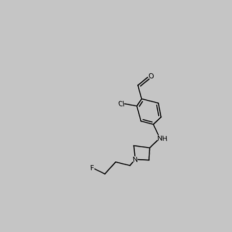 O=Cc1ccc(NC2CN(CCCF)C2)cc1Cl